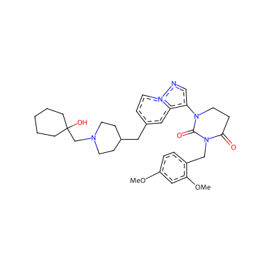 COc1ccc(CN2C(=O)CCN(c3cnn4ccc(CC5CCN(CC6(O)CCCCC6)CC5)cc34)C2=O)c(OC)c1